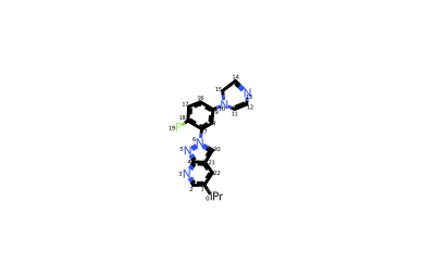 CC(C)c1cnc2nn(-c3cc(N4C=CN=CC4)ccc3F)cc2c1